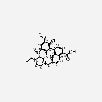 CCN1CCN(Cc2cnc3c(C(=O)O)ccc(-c4c(Cl)c(OC)cc(OC)c4Cl)c3n2)CC1